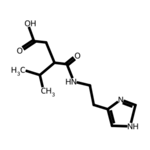 CC(C)C(CC(=O)O)C(=O)NCCc1c[nH]cn1